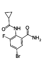 NC(=O)c1cc(Br)cc(F)c1NC(=O)C1CC1